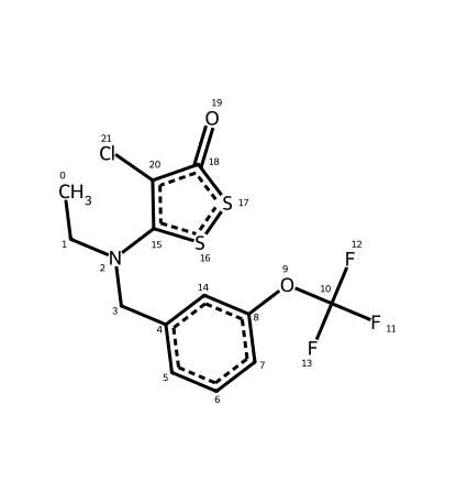 CCN(Cc1cccc(OC(F)(F)F)c1)c1ssc(=O)c1Cl